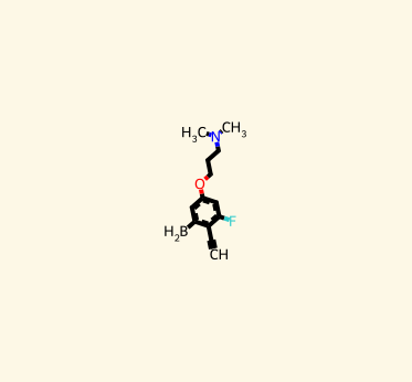 Bc1cc(OCCCN(C)C)cc(F)c1C#C